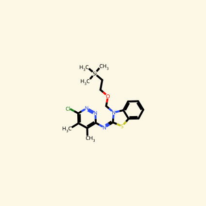 Cc1c(Cl)nnc(N=c2sc3ccccc3n2COCC[Si](C)(C)C)c1C